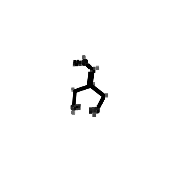 CON=C(CO)CO